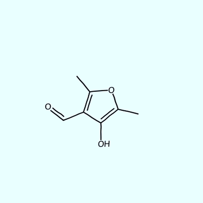 Cc1oc(C)c(C=O)c1O